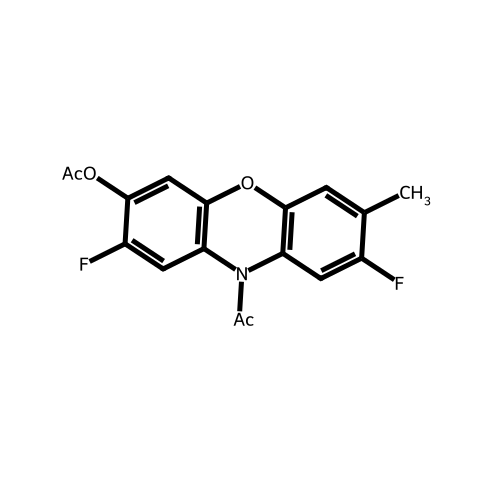 CC(=O)Oc1cc2c(cc1F)N(C(C)=O)c1cc(F)c(C)cc1O2